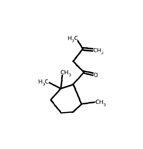 C=C(C)CC(=O)C1C(C)CCCC1(C)C